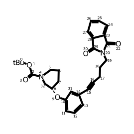 CC(C)(C)OC(=O)N1CCC[C@H](Oc2cccc(C#CCCCN3C(=O)c4ccccc4C3=O)c2)C1